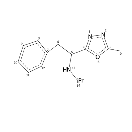 Cc1nnc(C(Cc2ccccc2)NC(C)C)o1